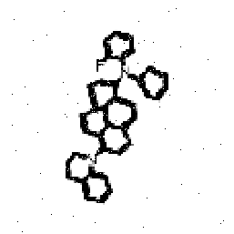 Fc1ccccc1N(c1ccccc1)c1ccc2ccc3c(N4CCCc5ccccc54)ccc4ccc1c2c43